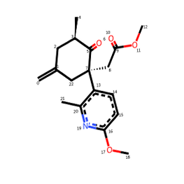 C=C1C[C@@H](C)C(=O)[C@@](CC(=O)OC)(c2ccc(OC)nc2C)C1